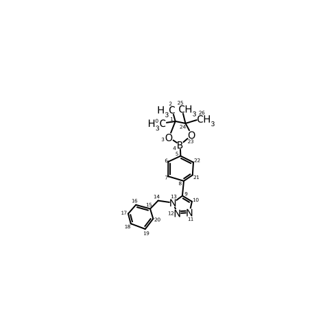 CC1(C)OB(c2ccc(-c3cnnn3Cc3ccccc3)cc2)OC1(C)C